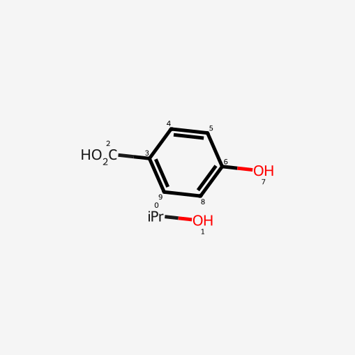 CC(C)O.O=C(O)c1ccc(O)cc1